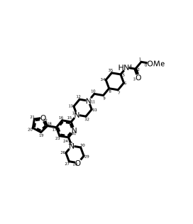 COCC(=O)NC1CCC(CCN2CCN(c3cc(-c4ccco4)cc(N4CCOCC4)n3)CC2)CC1